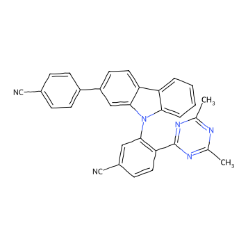 Cc1nc(C)nc(-c2ccc(C#N)cc2-n2c3ccccc3c3ccc(-c4ccc(C#N)cc4)cc32)n1